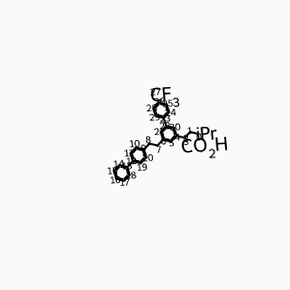 CC(C)CC(C(=O)O)c1cc(CCc2ccc(-c3ccccc3)cc2)cc(-c2ccc(C(F)(F)F)cc2)c1